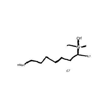 CCCCCCCCCCCCCCCC(CC)[N+](C)(C)O.[Cl-]